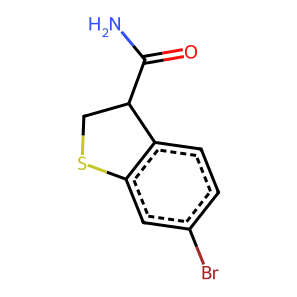 NC(=O)C1CSc2cc(Br)ccc21